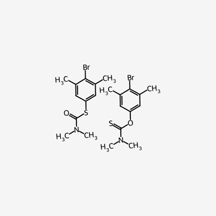 Cc1cc(OC(=S)N(C)C)cc(C)c1Br.Cc1cc(SC(=O)N(C)C)cc(C)c1Br